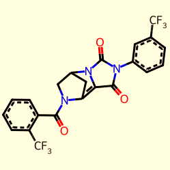 O=C(c1ccccc1C(F)(F)F)N1CC2CC1=C1C(=O)N(c3cccc(C(F)(F)F)c3)C(=O)N12